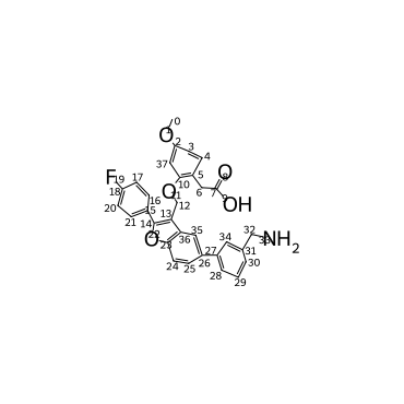 COc1ccc(CC(=O)O)c(OCc2c(-c3ccc(F)cc3)oc3ccc(-c4cccc(CN)c4)cc23)c1